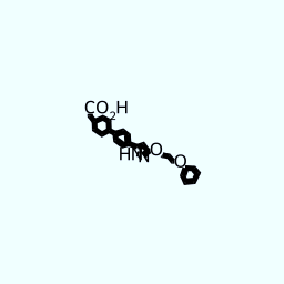 O=C(O)CC1CCC(c2ccc(-c3cc(OCCCOc4ccccc4)n[nH]3)cc2)CC1